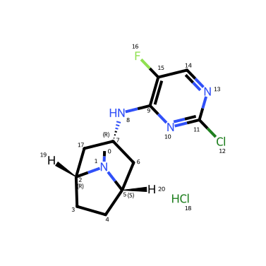 CN1[C@@H]2CC[C@H]1C[C@@H](Nc1nc(Cl)ncc1F)C2.Cl